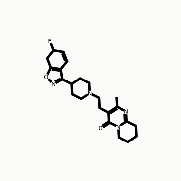 Cc1nc2n(c(=O)c1CCN1CCC(c3noc4c3C=CC(F)C4)CC1)CCCC2